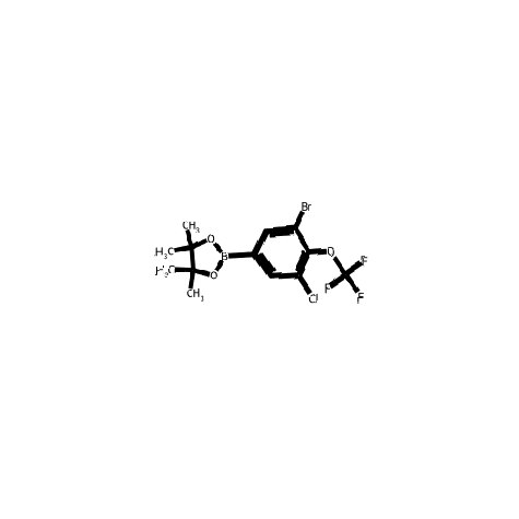 CC1(C)OB(c2cc(Cl)c(OC(F)(F)F)c(Br)c2)OC1(C)C